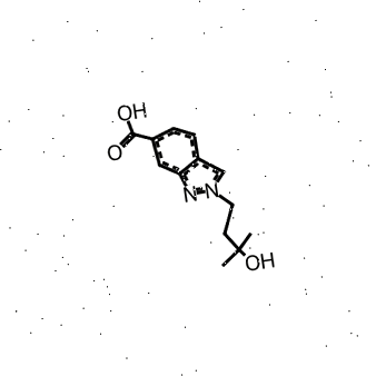 CC(C)(O)CCn1cc2ccc(C(=O)O)cc2n1